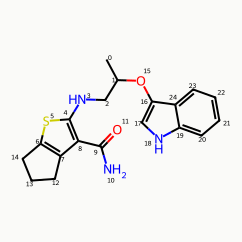 CC(CNc1sc2c(c1C(N)=O)CCC2)Oc1c[nH]c2ccccc12